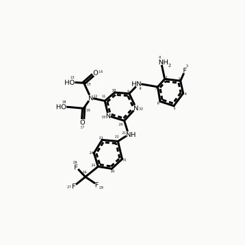 Nc1c(F)cccc1Nc1cc(N(C(=O)O)C(=O)O)nc(Nc2ccc(C(F)(F)F)cc2)n1